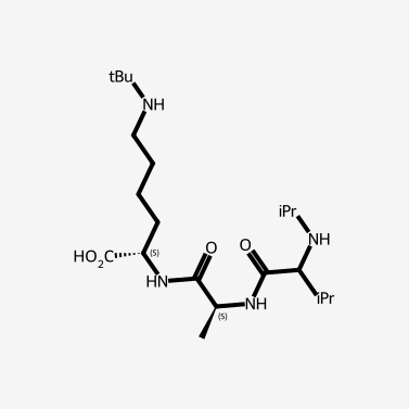 CC(C)NC(C(=O)N[C@@H](C)C(=O)N[C@@H](CCCCNC(C)(C)C)C(=O)O)C(C)C